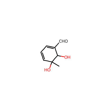 CC1(O)C=CC=C(C=O)C1O